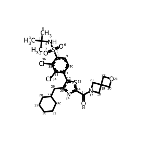 CC(C)(C)NS(=O)(=O)c1ccc(-c2sc(C(=O)N3CC4(COC4)C3)nc2CC2CCCCC2)c(Cl)c1Cl